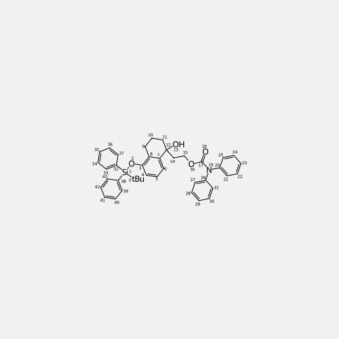 CC(C)(C)[Si](Oc1cccc2c1CCCC2(O)CCOC(=O)N(c1ccccc1)c1ccccc1)(c1ccccc1)c1ccccc1